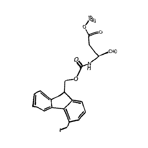 CC(C)(C)OC(=O)C[C@@H](C=O)NC(=O)OCC1c2ccccc2-c2c(I)cccc21